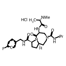 CN[C@@H](C)C(=O)N[C@H]1CN(C(=O)NC(C)C)CC[C@H]2CC[C@@H](C(=O)NCc3ccc(F)cc3)N2C1=O.Cl